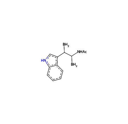 BC(NC(C)=O)C(B)c1c[nH]c2ccccc12